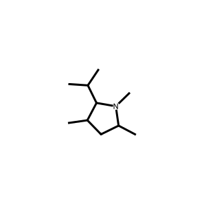 CC(C)C1C(C)CC(C)N1C